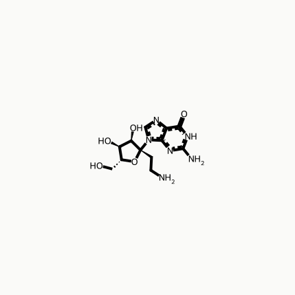 NCC[C@@]1(n2cnc3c(=O)[nH]c(N)nc32)O[C@H](CO)[C@@H](O)[C@H]1O